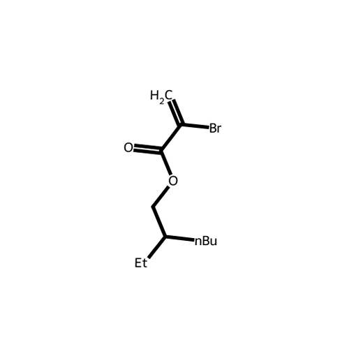 C=C(Br)C(=O)OCC(CC)CCCC